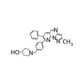 Cc1cc2ncc3cc(-c4ccccc4)c(-c4ccc(CN5CCC(O)CC5)cc4)nc3n2n1